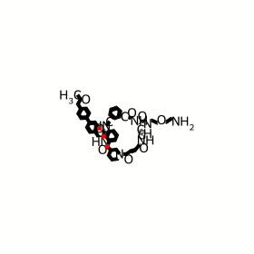 CC(=O)Cc1ccc(-c2ccc(C[C@@H]3NC(=O)[C@]4(Cc5ccccc5)CCCN(C4)C(=O)/C=C/C(=O)NCC[C@@H](C(=O)NCCOCCN)NC(=O)Cc4ccccc4CNC3=O)cc2)cc1